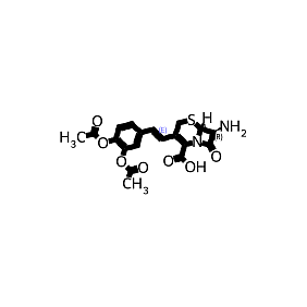 CC(=O)Oc1ccc(/C=C/C2=C(C(=O)O)N3C(=O)[C@@H](N)[C@H]3SC2)cc1OC(C)=O